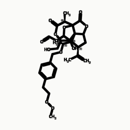 C=C(C)[C@@H]1CC2OC(=O)C34OC(OC=O)C1([C@H](C)OCc1ccc(CCOOC)cc1)C23[C@@H](O)C(CO)OC(=O)[C@H]4C